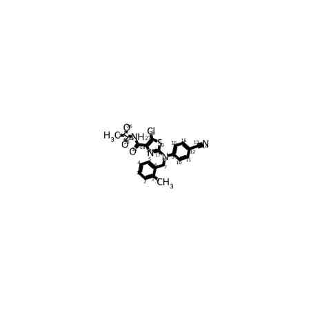 Cc1ccccc1CN(c1ccc(C#N)cc1)c1nc(C(=O)NS(C)(=O)=O)c(Cl)s1